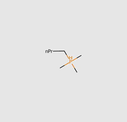 CCCC[PH](C)(C)C